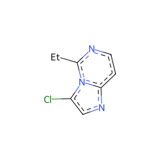 CCc1nccc2ncc(Cl)n12